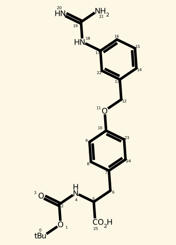 CC(C)(C)OC(=O)NC(Cc1ccc(OCc2cccc(NC(=N)N)c2)cc1)C(=O)O